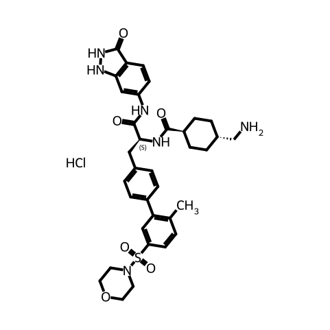 Cc1ccc(S(=O)(=O)N2CCOCC2)cc1-c1ccc(C[C@H](NC(=O)[C@H]2CC[C@H](CN)CC2)C(=O)Nc2ccc3c(=O)[nH][nH]c3c2)cc1.Cl